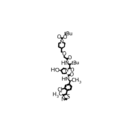 Cc1ncsc1-c1ccc([C@H](C)NC(=O)[C@@H]2C[C@@H](O)CN2C(=O)C(NC(=O)COCC2CCN(C(=O)OC(C)(C)C)CC2)C(C)(C)C)cc1Cl